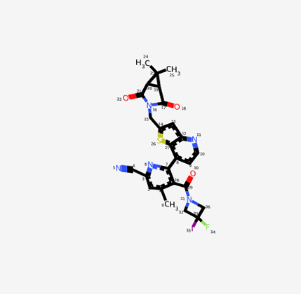 Cc1cc(C#N)nc(-c2ccnc3cc(CN4C(=O)C5C(C4=O)C5(C)C)sc23)c1C(=O)N1CC(F)(I)C1